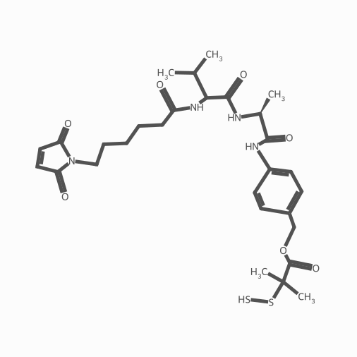 CC(C)C(NC(=O)CCCCCN1C(=O)C=CC1=O)C(=O)N[C@@H](C)C(=O)Nc1ccc(COC(=O)C(C)(C)SS)cc1